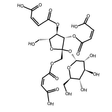 O=C(O)/C=C\C(=O)OC[C@@]1(O[C@H]2O[C@H](CO)[C@@H](O)[C@H](O)[C@H]2O)O[C@H](CO)[C@@H](OC(=O)/C=C\C(=O)O)[C@@H]1OC(=O)/C=C\C(=O)O